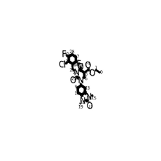 CCOC(=O)c1cn(-c2ccc3c(c2)n(C)c(=O)n3C)c(=O)n(Cc2c(F)ccc(F)c2Cl)c1=O